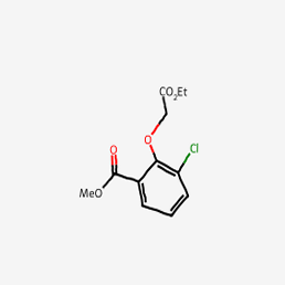 CCOC(=O)COc1c(Cl)cccc1C(=O)OC